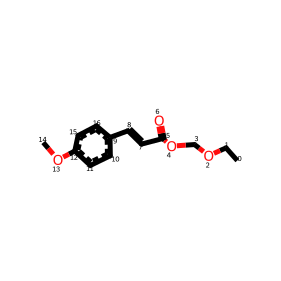 CCOCOC(=O)C=Cc1ccc(OC)cc1